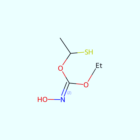 CCO/C(=N/O)OC(C)S